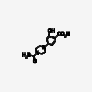 BC(=O)N1CCN(c2ccc(C(=O)O)c(O)c2)CC1